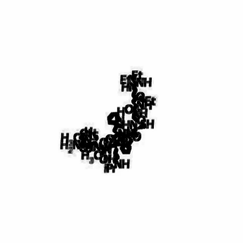 CCC(=O)N[C@H](CCCCNC(=N)N(CC)CC)C(=O)NCC(=O)N[C@@H](CS)C(=O)N[C@@H](Cc1ccccc1)C(=O)N[C@H](Cc1c[nH]c2ccccc12)C(=O)N[C@@H](CCCCNC(C)C)C(=O)N[C@H](C(=O)N[C@@H](CS)C(=O)N[C@H](C(N)=O)[C@@H](C)O)[C@@H](C)O